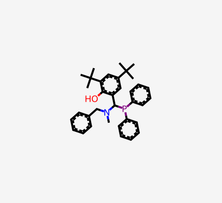 CN(Cc1ccccc1)C(c1cc(C(C)(C)C)cc(C(C)(C)C)c1O)P(c1ccccc1)c1ccccc1